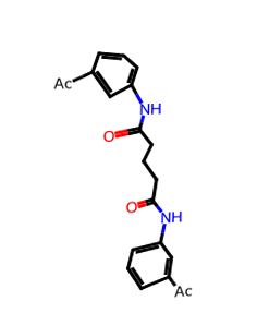 CC(=O)c1cccc(NC(=O)CCCC(=O)Nc2cccc(C(C)=O)c2)c1